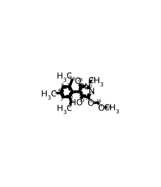 CCc1cc(C)cc(CC)c1-c1c(O)c(OCOC)nn(C)c1=O